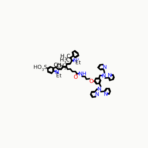 CCN1/C(=C/C=C(/C=C/C2=[N+](CC)c3ccccc3C2(C)C)CCCCC(=O)NCCCCOc2cc(CN(Cc3ccccn3)Cc3ccccn3)cc(CN(Cc3ccccn3)Cc3ccccn3)c2)C(C)(C)c2cc(S(=O)(=O)O)ccc21